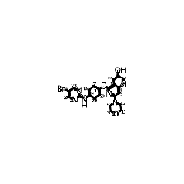 Oc1cnc2cc(N3CCOCC3)nc(OC3CCC(Nc4ncc(Br)cn4)CC3)c2c1